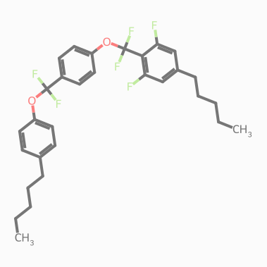 CCCCCc1ccc(OC(F)(F)c2ccc(OC(F)(F)c3c(F)cc(CCCCC)cc3F)cc2)cc1